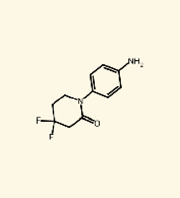 Nc1ccc(N2CCC(F)(F)CC2=O)cc1